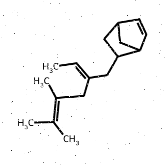 CC=C(CC(C)=C(C)C)CC1CC2C=CC1C2